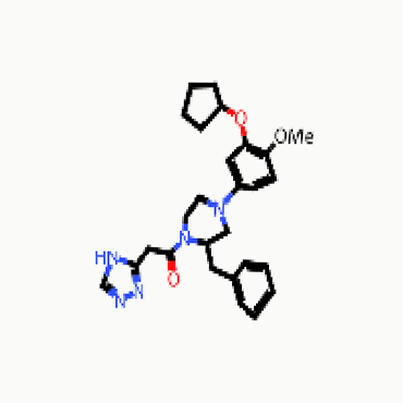 COc1ccc(N2CCN(C(=O)Cc3nnc[nH]3)C(Cc3ccccc3)C2)cc1OC1CCCC1